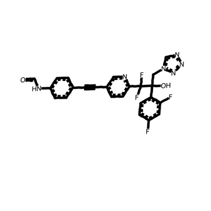 O=CNc1ccc(C#Cc2ccc(C(F)(F)C(O)(Cn3cnnn3)c3ccc(F)cc3F)nc2)cc1